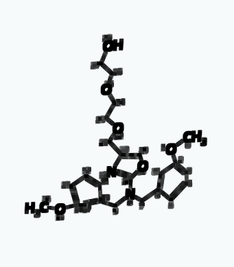 COc1cccc(CN(Cc2cccc(OC)c2)c2nc(COCCOCCO)co2)c1